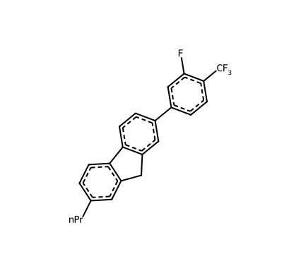 CCCc1ccc2c(c1)Cc1cc(-c3ccc(C(F)(F)F)c(F)c3)ccc1-2